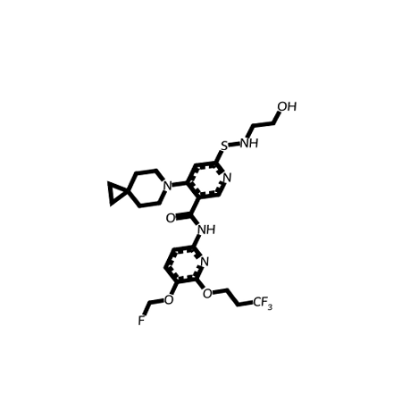 O=C(Nc1ccc(OCF)c(OCCC(F)(F)F)n1)c1cnc(SNCCO)cc1N1CCC2(CC1)CC2